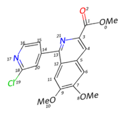 COC(=O)c1cc2cc(OC)c(OC)cc2c(-c2ccnc(Cl)c2)n1